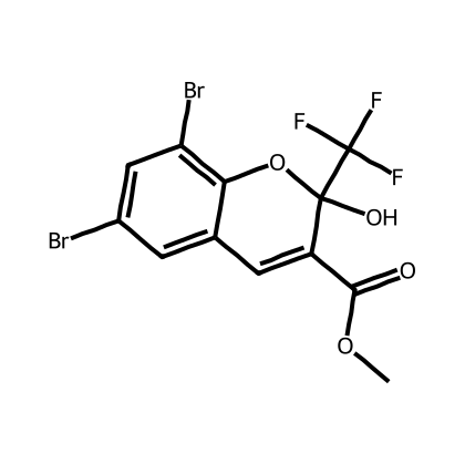 COC(=O)C1=Cc2cc(Br)cc(Br)c2OC1(O)C(F)(F)F